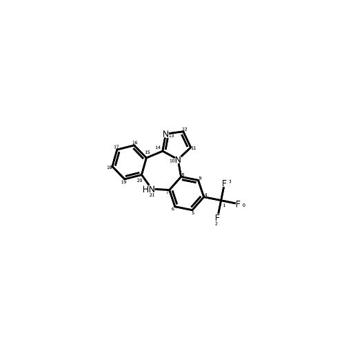 FC(F)(F)c1ccc2c(c1)-n1ccnc1-c1ccccc1N2